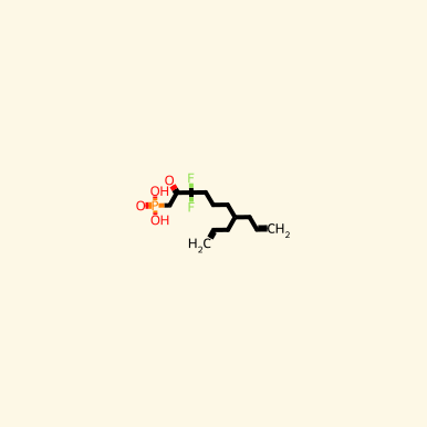 C=CCC(CC=C)CCCC(F)(F)C(=O)CP(=O)(O)O